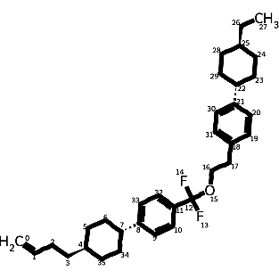 C=CCC[C@H]1CC[C@H](c2ccc(C(F)(F)OCCc3ccc([C@H]4CC[C@H](CC)CC4)cc3)cc2)CC1